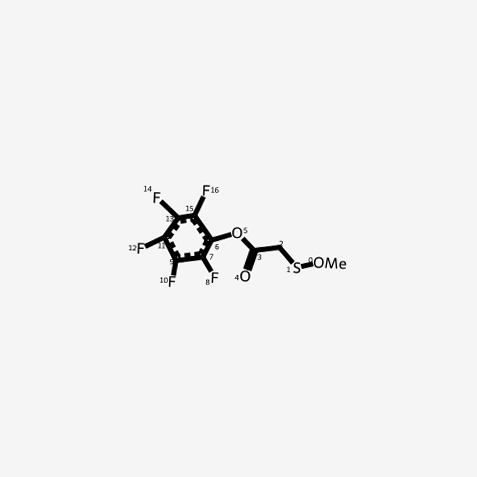 COSCC(=O)Oc1c(F)c(F)c(F)c(F)c1F